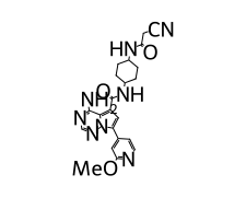 COc1cc(-c2cc(C(=O)NC3CCC(NC(=O)CC#N)CC3)c3c(N)ncnn23)ccn1